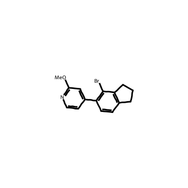 COc1cc(-c2ccc3c(c2Br)CCC3)ccn1